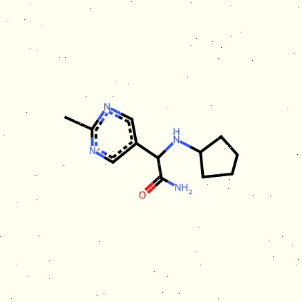 Cc1ncc(C(NC2CCCC2)C(N)=O)cn1